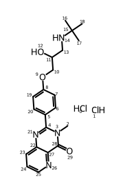 Cl.Cl.Cn1c(-c2ccc(OCC(O)CNC(C)(C)C)cc2)nc2cccnc2c1=O